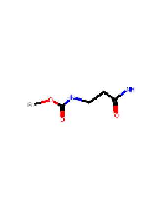 CCOC(=O)NCCC([NH])=O